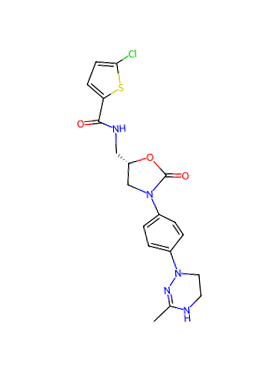 CC1=NN(c2ccc(N3C[C@H](CNC(=O)c4ccc(Cl)s4)OC3=O)cc2)CCN1